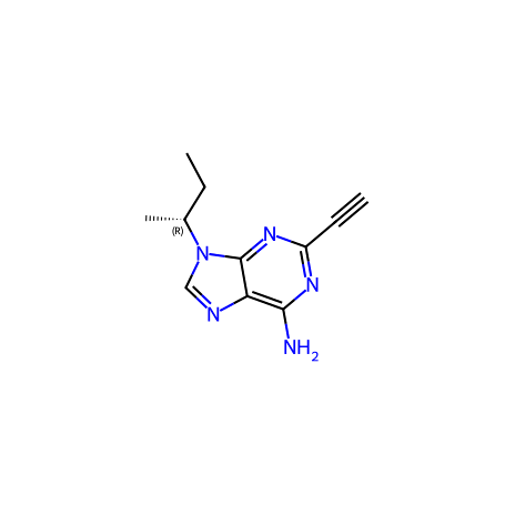 C#Cc1nc(N)c2ncn([C@H](C)CC)c2n1